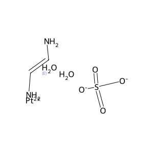 N/C=C/N.O.O.O=S(=O)([O-])[O-].[Pt+2]